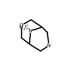 CN1C2C[N]CC1COC2